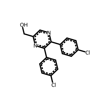 OCc1cnc(-c2ccc(Cl)cc2)c(-c2ccc(Cl)cc2)n1